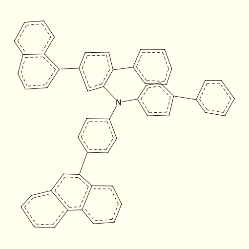 c1ccc(-c2ccc(N(c3ccc(-c4cc5ccccc5c5ccccc45)cc3)c3cc(-c4cccc5ccccc45)ccc3-c3ccccc3)cc2)cc1